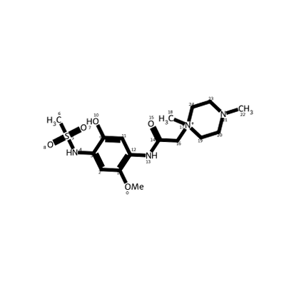 COc1cc(NS(C)(=O)=O)c(O)cc1NC(=O)C[N+]1(C)CCN(C)CC1